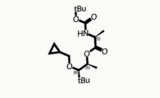 C[C@H](NC(=O)OC(C)(C)C)C(=O)O[C@@H](C)[C@H](OCC1CC1)C(C)(C)C